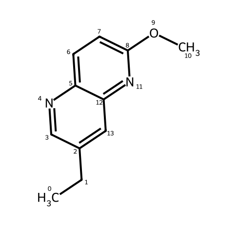 CCc1cnc2ccc(OC)nc2c1